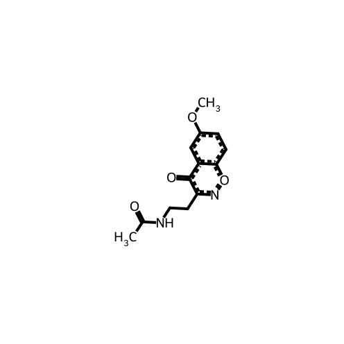 COc1ccc2onc(CCNC(C)=O)c(=O)c2c1